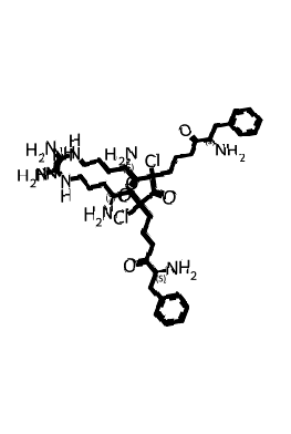 N=C(N)NCCC[C@H](N)C(=O)C(Cl)(CCCC(=O)[C@@H](N)Cc1ccccc1)C(=O)C(Cl)(CCCC(=O)[C@@H](N)Cc1ccccc1)C(=O)[C@@H](N)CCCNC(=N)N